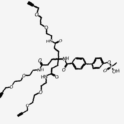 C#CCOCCOCCNC(=O)CCC(CCC(=O)NCCOCCOCC#C)(CCC(=O)NCCOCCOCC#C)NC(=O)c1ccc(-c2ccc(OP(C)(=O)O)cc2)cc1